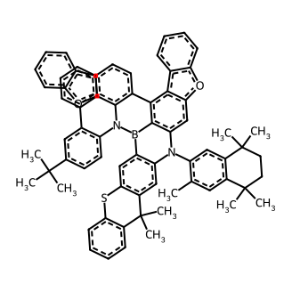 Cc1cc2c(cc1N1c3cc4c(cc3B3c5c1cc1oc6ccccc6c1c5-c1ccc5c(oc6ccccc65)c1N3c1ccc(C(C)(C)C)cc1-c1ccccc1)Sc1ccccc1C4(C)C)C(C)(C)CCC2(C)C